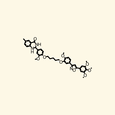 COc1cc(C2NC(=O)c3cc(C)ccc3N2)ccc1OCCCCCOc1cc(-c2cc(-c3cc(OC)c(OC)c(OC)c3)on2)ccc1OC